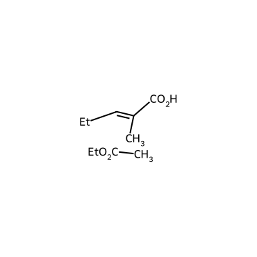 CCC=C(C)C(=O)O.CCOC(C)=O